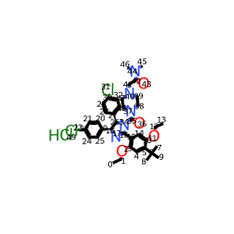 CCOc1cc(C(C)(C)C)c(OCC)cc1C1=N[C@@H](c2ccc(Cl)cc2)[C@@H](c2ccc(Cl)cc2)N1C(=O)N1CCN(CC(=O)N(C)C)CC1.Cl